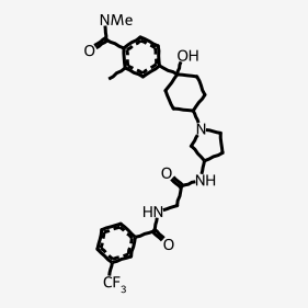 CNC(=O)c1ccc(C2(O)CCC(N3CCC(NC(=O)CNC(=O)c4cccc(C(F)(F)F)c4)C3)CC2)cc1C